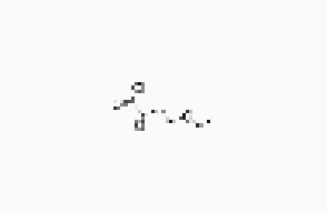 CCOCCC(=O)C(=O)Cl